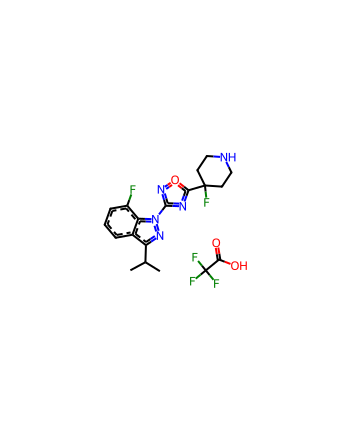 CC(C)c1nn(-c2noc(C3(F)CCNCC3)n2)c2c(F)cccc12.O=C(O)C(F)(F)F